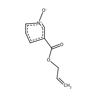 C=CCOC(=O)c1ccc[n+]([O-])c1